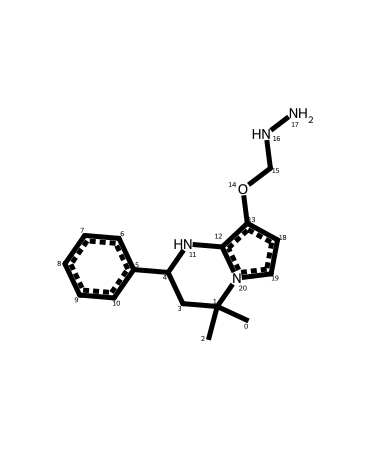 CC1(C)CC(c2ccccc2)Nc2c(OCNN)ccn21